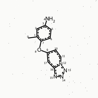 Cc1cc(N)ccc1Oc1ccn2nnnc2c1